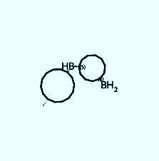 B[C@@H]1CCCCCC[C@H](B[C@H]2CCCCCC[C@@H](C)CCCCCC2)CCC1